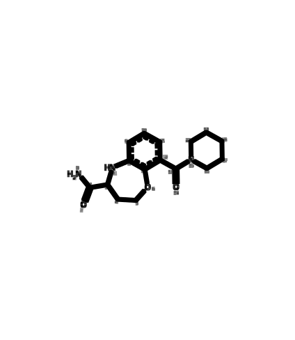 NC(=O)C1CCOc2c(c[c]cc2C(=O)N2CCCCC2)N1